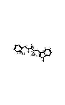 N[C@H](Cc1c[nH]c2ccccc12)C(=O)NCc1ccccc1Cl